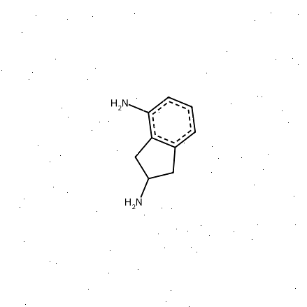 Nc1cccc2c1CC(N)C2